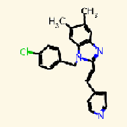 Cc1cc2nc(/C=C/c3ccncc3)n(Cc3ccc(Cl)cc3)c2cc1C